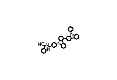 N#Cc1nc(-c2ccc(-n3c4ccccc4c4c(-c5ccc6c7ccccc7n(-c7ccccc7)c6c5)cccc43)cc2)nc2ccccc12